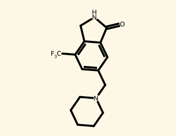 O=C1NCc2c1cc(CN1CCCCC1)cc2C(F)(F)F